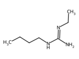 CCCCNC(N)=NCC